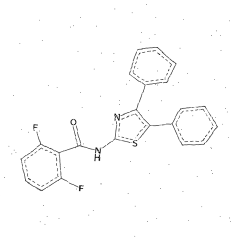 O=C(Nc1nc(-c2ccccc2)c(-c2ccccc2)s1)c1c(F)cccc1F